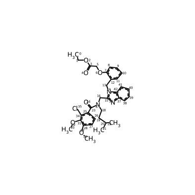 CCOC(=O)COc1ccccc1Cn1c(CN(CCC(C)C)C(=O)c2ccc(OC)c(OC)c2Cl)nc2ccccc21